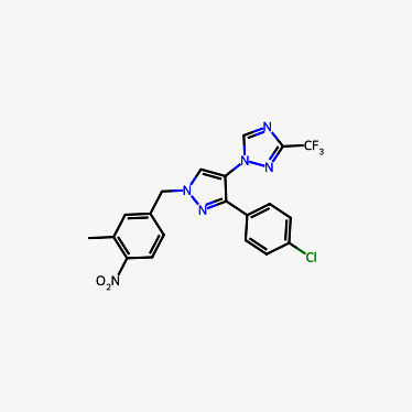 Cc1cc(Cn2cc(-n3cnc(C(F)(F)F)n3)c(-c3ccc(Cl)cc3)n2)ccc1[N+](=O)[O-]